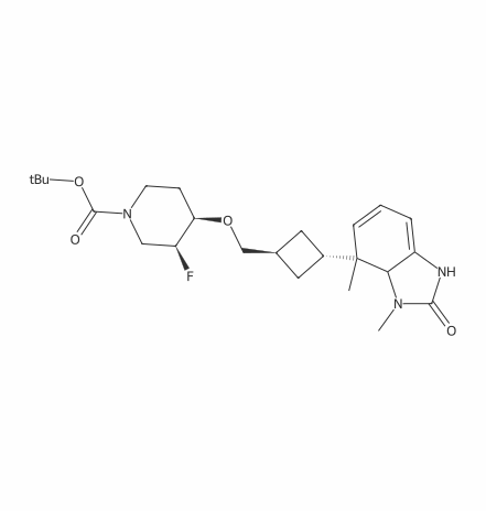 CN1C(=O)NC2=CC=CC(C)([C@H]3C[C@H](CO[C@@H]4CCN(C(=O)OC(C)(C)C)C[C@@H]4F)C3)C21